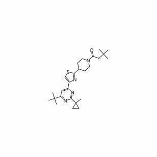 CC(C)(C)CC(=O)N1CCC(c2nc(-c3cc(C(C)(C)C)nc(C4(C)CC4)n3)cs2)CC1